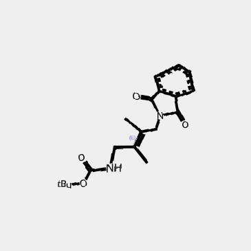 C/C(CNC(=O)OC(C)(C)C)=C(/C)CN1C(=O)c2ccccc2C1=O